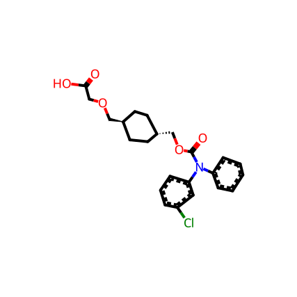 O=C(O)COC[C@H]1CC[C@H](COC(=O)N(c2ccccc2)c2cccc(Cl)c2)CC1